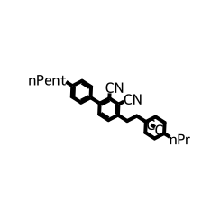 CCCCCc1ccc(-c2ccc(CCC34CCC(CCC)(CC3)CC4)c(C#N)c2C#N)cc1